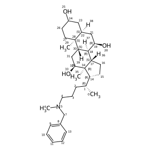 C[C@H](CCCN(C)Cc1ccccc1)[C@H]1CC[C@H]2[C@@H]3[C@H](O)C[C@@H]4CC(O)CC[C@]4(C)[C@H]3C[C@H](O)[C@]12C